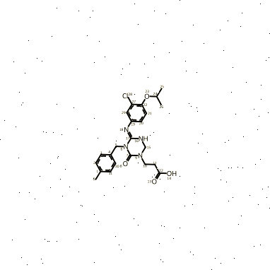 Cc1ccc(CN2C(=O)N(CCC(=O)O)CN/C2=N\c2ccc(OC(C)C)c(Cl)c2)cc1